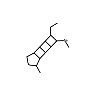 CBC1C(CC)C2C1C1C3C(C)CCC3C21